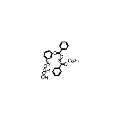 CC(C)c1ccccc1.O=C(OOC(=O)c1ccccc1)c1ccccc1.[Co+2].[O-]O.[O-]O